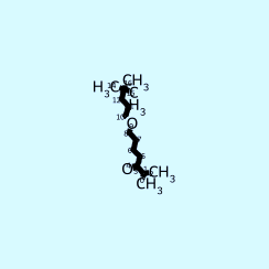 CC(C)C(=O)CCCCOCCCC(C)(C)C